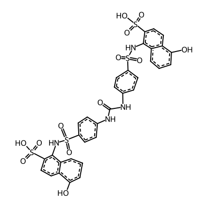 O=C(Nc1ccc(S(=O)(=O)Nc2c(S(=O)(=O)O)ccc3c(O)cccc23)cc1)Nc1ccc(S(=O)(=O)Nc2c(S(=O)(=O)O)ccc3c(O)cccc23)cc1